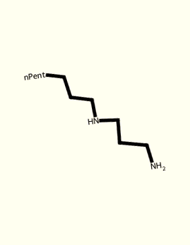 [CH2]CCCCCCCNCCCN